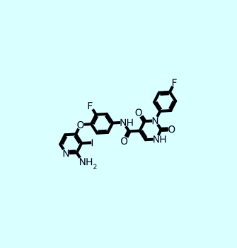 Nc1nccc(Oc2ccc(NC(=O)c3c[nH]c(=O)n(-c4ccc(F)cc4)c3=O)cc2F)c1I